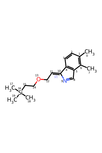 Cc1ccc2c(c1C)C=N/C2=C\COCC[Si](C)(C)C